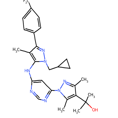 Cc1nn(-c2cc(Nc3c(C)c(-c4ccc(C(F)(F)F)cc4)nn3CC3CC3)ncn2)c(C)c1C(C)(C)O